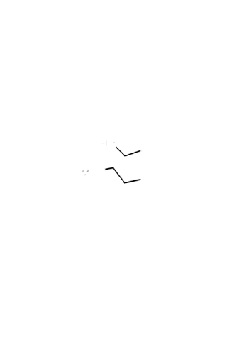 CCO.CC[CH2][Mg+2]